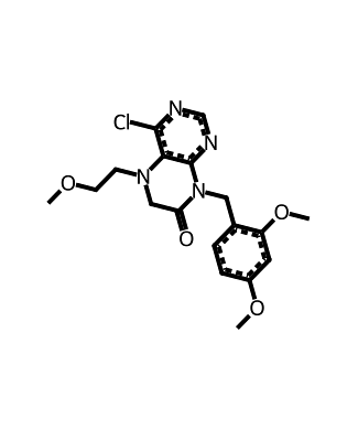 COCCN1CC(=O)N(Cc2ccc(OC)cc2OC)c2ncnc(Cl)c21